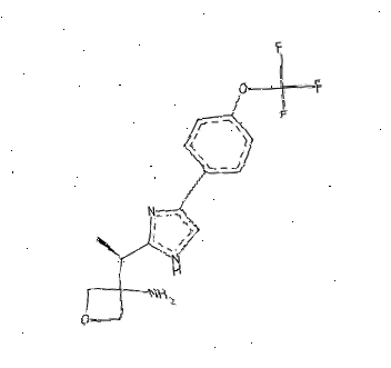 C[C@@H](c1nc(-c2ccc(OC(F)(F)F)cc2)c[nH]1)C1(N)COC1